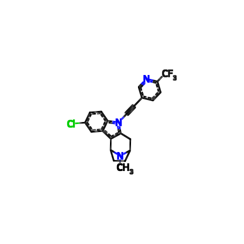 CN1C2CCC1c1c(n(C#Cc3ccc(C(F)(F)F)nc3)c3ccc(Cl)cc13)C2